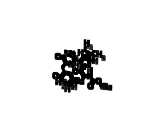 [2H]C1([2H])CC[C@@H](C[C@H](NC(=O)[C@@H]2[C@@H]3[C@H](CN2C(=O)[C@@H](NC(=O)OC(C)(C)C)C(C)(C)C)C3(C)C)C(N)=O)C(=O)N1